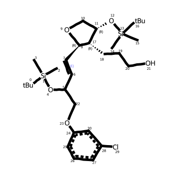 CC(C)(C)[Si](C)(C)OC(/C=C/[C@H]1OC[C@H](O[Si](C)(C)C(C)(C)C)[C@@H]1CCCO)COc1cccc(Cl)c1